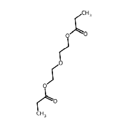 CCC(=O)OCCOCCOC(=O)CC